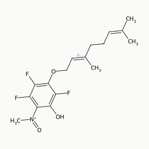 CC(C)=CCC/C(C)=C/COc1c(F)c(O)c([N+](C)=O)c(F)c1F